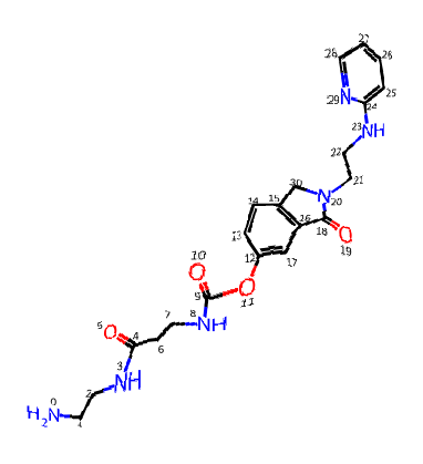 NCCNC(=O)CCNC(=O)Oc1ccc2c(c1)C(=O)N(CCNc1ccccn1)C2